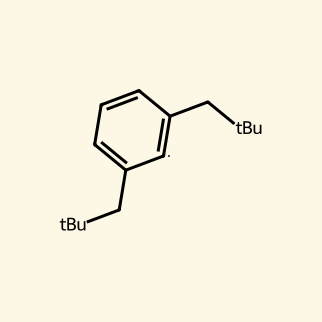 CC(C)(C)Cc1[c]c(CC(C)(C)C)ccc1